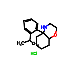 CC(C)c1ccccc1C12CCCCC1OCCN2.Cl